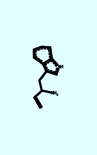 C=CC(N)Cc1c[nH]c2ccccc12